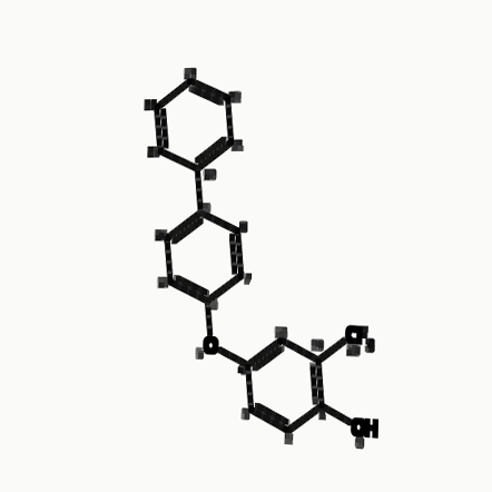 Oc1ccc(Oc2ccc(-c3ccccc3)cc2)cc1C(F)(F)F